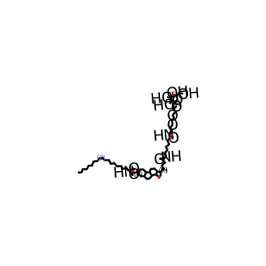 CCCCCCCC/C=C\CCCCCCCCNC(=O)O[C@@H]1CCC2C(CCC3C2CCC2C3CCC2[C@H](C)CCC(=O)NCCCCCC(=O)NCCOCCOCCO[C@H]2OC(CO)[C@@H](O)C(O)C2O)C1